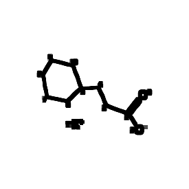 O=C([O-])CCC1CCCCC1.[K+]